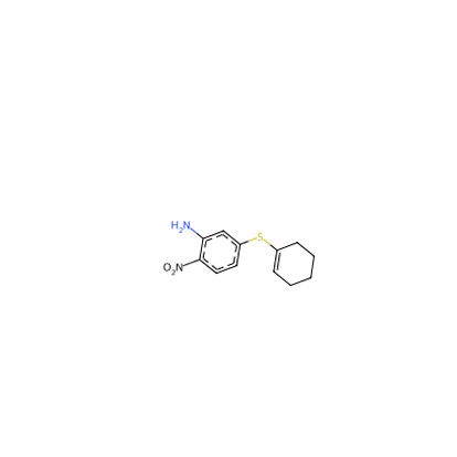 Nc1cc(SC2=CCCCC2)ccc1[N+](=O)[O-]